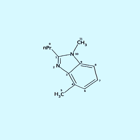 C[CH]Cc1nc2c(C)cccc2n1C